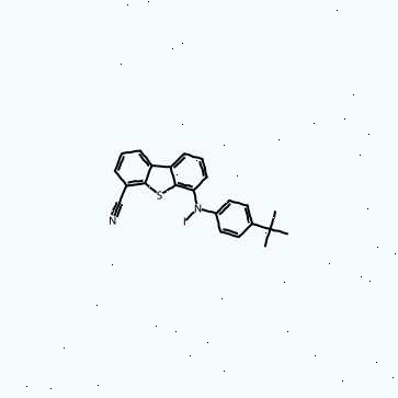 CC(C)(C)c1ccc(N(I)c2cccc3c2sc2c(C#N)cccc23)cc1